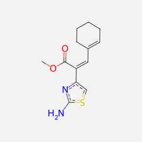 COC(=O)C(=CC1=CCCCC1)c1csc(N)n1